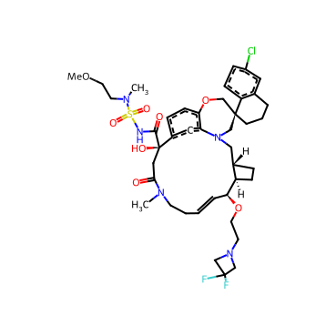 COCCN(C)S(=O)(=O)NC(=O)[C@@]1(O)CC(=O)N(C)CC/C=C/[C@H](OCCN2CC(F)(F)C2)[C@@H]2CC[C@H]2CN2C[C@@]3(CCCc4cc(Cl)ccc43)COc3ccc1cc32